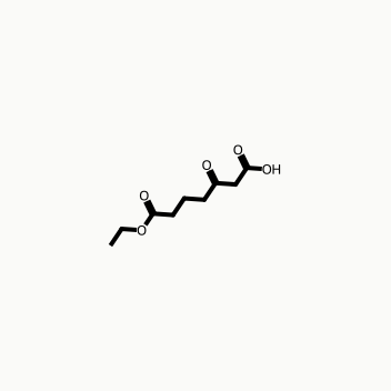 CCOC(=O)CCCC(=O)CC(=O)O